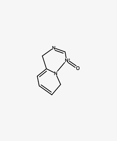 O=[N+]1C=NCC2=CC=CCN21